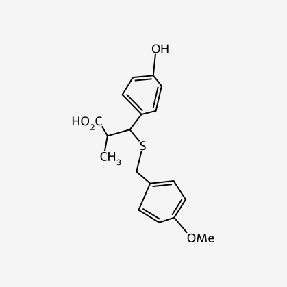 COc1ccc(CSC(c2ccc(O)cc2)C(C)C(=O)O)cc1